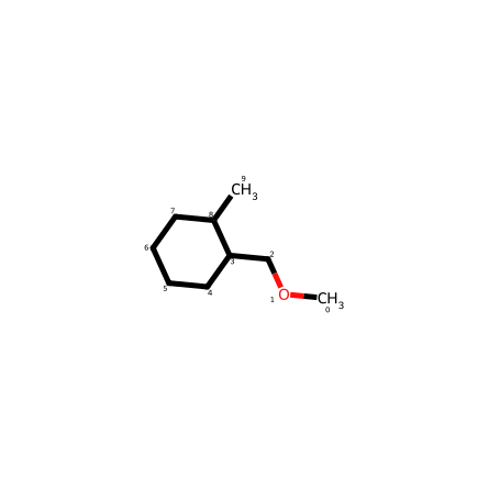 COCC1CCCCC1C